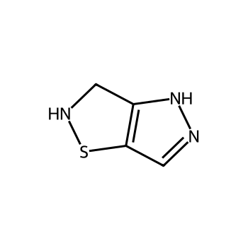 c1n[nH]c2c1SNC2